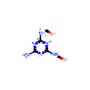 C=O.C=O.Nc1nc(N)nc(N)n1